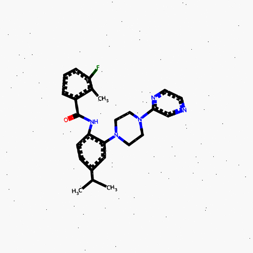 Cc1c(F)cccc1C(=O)Nc1ccc(C(C)C)cc1N1CCN(c2cnccn2)CC1